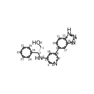 OC[C@H](Nc1cncc(-c2ccc3[nH]nnc3c2)c1)c1ccccc1